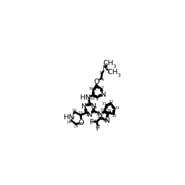 CN(C)CCOc1cncc(Nc2nc(C3CNCCO3)nc(-n3c(C(F)F)nc4ccccc43)n2)c1